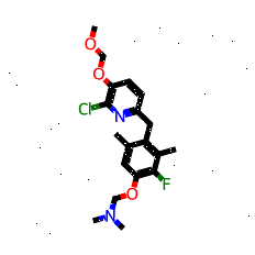 COCOc1ccc(Cc2c(C)cc(OCN(C)C)c(F)c2C)nc1Cl